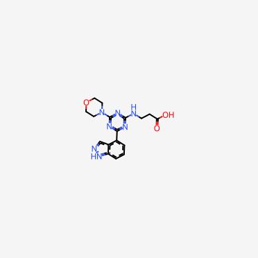 O=C(O)CCNc1nc(-c2cccc3[nH]ncc23)nc(N2CCOCC2)n1